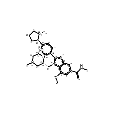 C=C(NC)c1cc(OC)c2c(c1)nc(-c1ccc(N3CCC[C@@H]3C)nc1)n2C[C@@H]1CN(C)C[C@H](C)O1